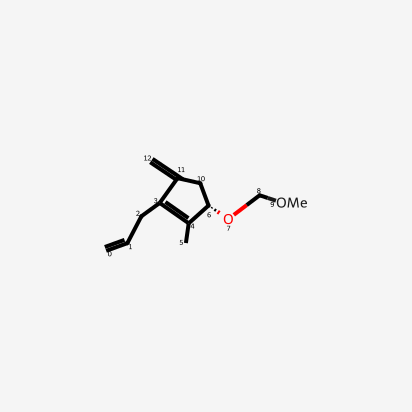 C=CCC1=C(C)[C@@H](OCOC)CC1=C